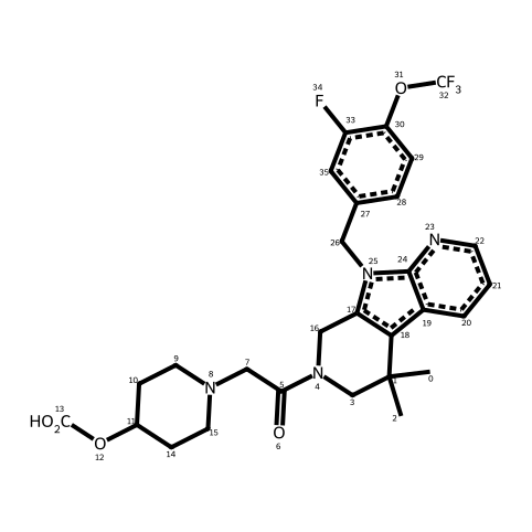 CC1(C)CN(C(=O)CN2CCC(OC(=O)O)CC2)Cc2c1c1cccnc1n2Cc1ccc(OC(F)(F)F)c(F)c1